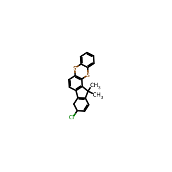 CC1(C)C2=C(CC(Cl)C=C2)c2ccc3c(c21)Sc1ccccc1S3